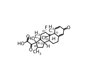 C[C@@H]1C[C@H]2[C@@H]3CCC4=CC(=O)C=C[C@]4(C)[C@@]3(Cl)[C@@H](F)C[C@]2(C)[C@@]1(O)C(=O)C(=O)O